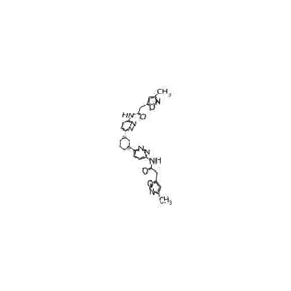 Cc1cc(CC(=O)Nc2ccc([C@H]3CCC[C@H](c4ccc(NC(=O)Cc5cc(C)no5)nn4)C3)nn2)on1